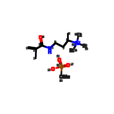 C=C(C)C(=O)NCCC(C)[N+](CC)(CC)CC.COS(=O)(=O)[O-]